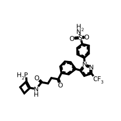 NS(=O)(=O)c1ccc(-n2nc(C(F)(F)F)cc2-c2cccc(C(=O)CCC(=O)NC3=C(P)CC3)c2)cc1